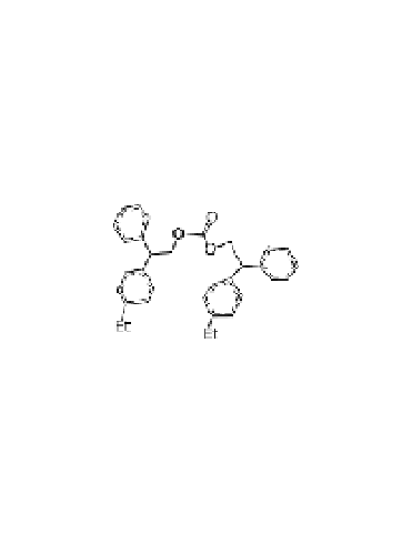 CCc1ccc(C(COC(=O)OCC(c2ccccc2)c2ccc(CC)cc2)c2ccccc2)cc1